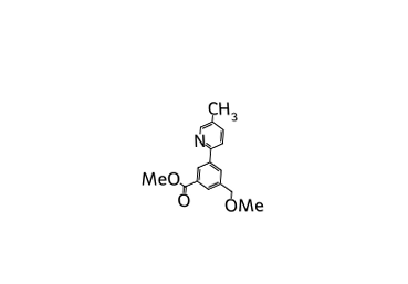 COCc1cc(C(=O)OC)cc(-c2ccc(C)cn2)c1